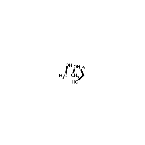 CCCCO.CO.CO